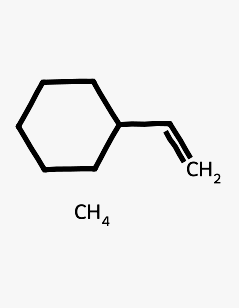 C.C=CC1CCCCC1